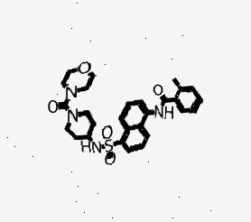 Cc1ccccc1C(=O)Nc1cccc2c(S(=O)(=O)NC3CCN(C(=O)N4CCOCC4)CC3)cccc12